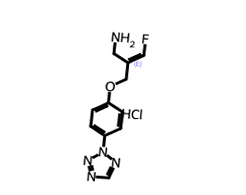 Cl.NC/C(=C\F)COc1ccc(-n2ncnn2)cc1